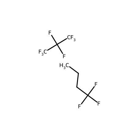 CCCC(F)(F)F.FC(F)(F)C(F)(F)C(F)(F)F